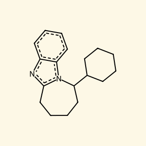 c1ccc2c(c1)nc1n2C(C2CCCCC2)CCCC1